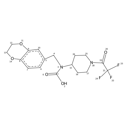 O=C(O)N(Cc1ccc2c(c1)OCCO2)C1CCN(C(=O)C(F)(F)F)CC1